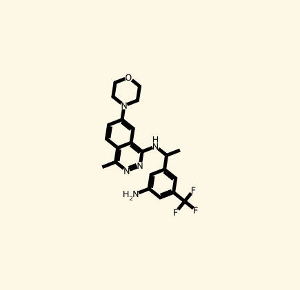 Cc1nnc(NC(C)c2cc(N)cc(C(F)(F)F)c2)c2cc(N3CCOCC3)ccc12